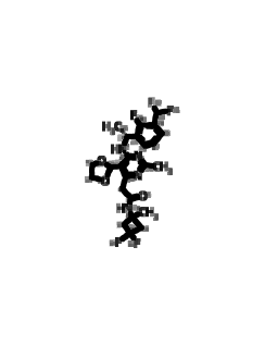 Cc1nc(CC(=O)NC2(C)CC(F)(F)C2)c(C2OCCO2)c(N[C@H](C)c2cccc(C(F)F)c2F)n1